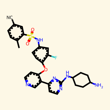 Cc1ccc(C#N)cc1S(=O)(=O)Nc1ccc(Oc2ccncc2-c2ccnc(NC3CCC(N)CC3)n2)c(F)c1